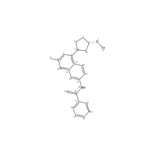 CCO[C@H]1CCN(c2cc(C)nc3cc(NC(=O)c4cccnc4)ccc23)C1